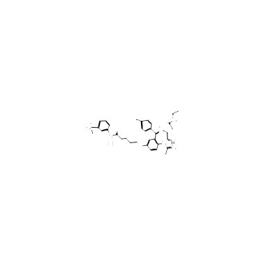 CCNC(=O)C[C@@H]1N=C(c2ccc(Cl)cc2)c2cc(OCCCCC(=O)Nc3cccc([Si](C)(C)O)c3)ccc2-n2c(C)nnc21